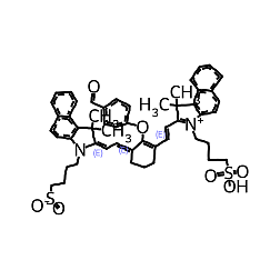 CC1(C)C(/C=C/C2=C(Oc3ccc(C=O)cc3)C(=C/C=C3/N(CCCCS(=O)[O-])c4ccc5ccccc5c4C3(C)C)/CCC2)=[N+](CCCCS(=O)(=O)O)c2ccc3ccccc3c21